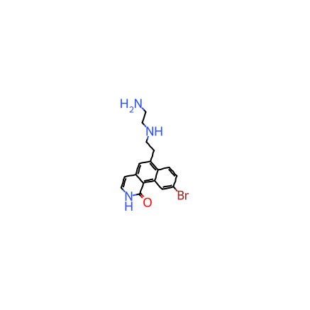 NCCNCCc1cc2cc[nH]c(=O)c2c2cc(Br)ccc12